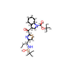 CC[C@H](N[S+]([O-])C(C)(C)C)c1csc(C(=O)c2cn(C(=O)OC(C)(C)C)c3ccccc23)n1